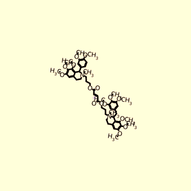 COc1ccc(C2c3c(cc(OC)c(OC)c3OC)CC[N+]2(C)CCCOC(=O)/C=C/C(=O)OCCC[N+]2(C)CCc3cc(OC)c(OC)c(OC)c3C2Cc2cc(OC)c(OC)c(OC)c2)cc1OC